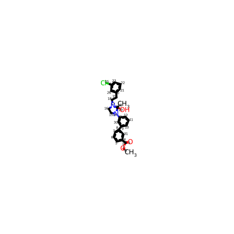 COC(=O)c1cccc(-c2cccc(N3CCN(CCc4cccc(Cl)c4)C3(C)O)c2)c1